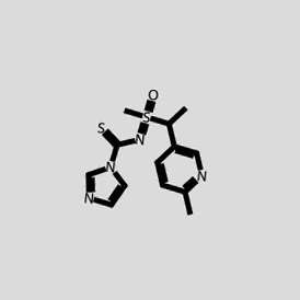 Cc1ccc(C(C)S(C)(=O)=NC(=S)n2ccnc2)cn1